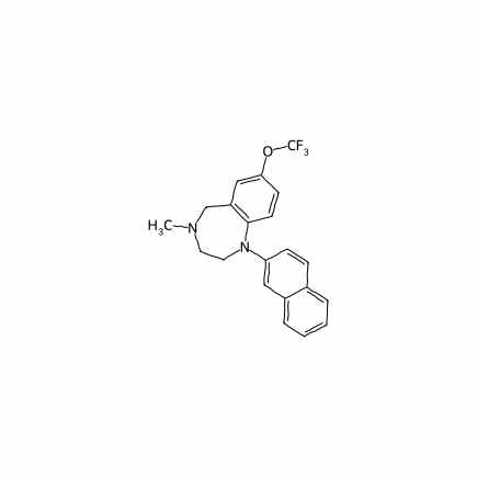 CN1CCN(c2ccc3ccccc3c2)c2ccc(OC(F)(F)F)cc2C1